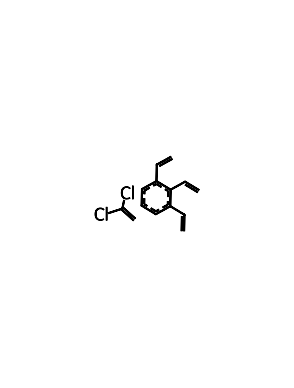 C=C(Cl)Cl.C=Cc1cccc(C=C)c1C=C